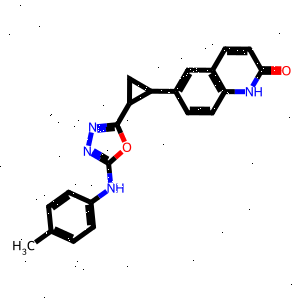 Cc1ccc(Nc2nnc(C3CC3c3ccc4[nH]c(=O)ccc4c3)o2)cc1